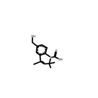 CC1=CC(C)(C)N(C(=O)O)c2ccc(CO)cc21